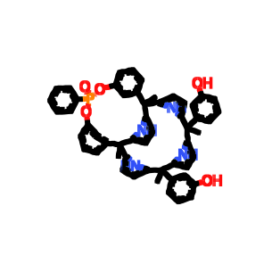 CC1(c2cccc(O)c2)c2ccc([nH]2)C(C)(c2cccc(O)c2)c2ccc([nH]2)C2(C)c3cccc(c3)OP(=O)(c3ccccc3)Oc3cccc(c3)C(C)(c3ccc1[nH]3)c1ccc2[nH]1